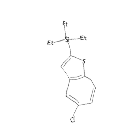 CC[Si](CC)(CC)c1cc2cc(Cl)ccc2s1